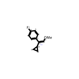 CO/C=C(\c1ccc(F)cc1)C1CC1